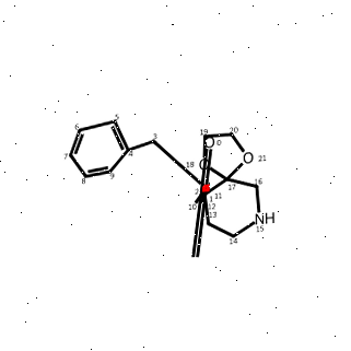 O=C1N(Cc2ccccc2)CCC12CCNCC21OCCO1